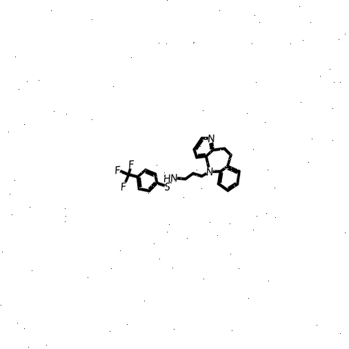 FC(F)(F)c1ccc(SNCCCN2c3ccccc3CCc3ncccc32)cc1